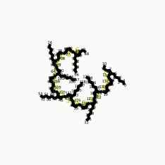 CCCCCCc1cc(CC)sc1-c1ccc(-c2ccc(-c3sc(-c4cc(CCCCCC)c(-c5ccc(-c6ccc(-c7sc(-c8cc(CCCCCC)c(-c9ccc(-c%10ccc(-c%11sc(-c%12cc(CCCCCC)c(-c%13ccc(-c%14ccc(-c%15sc(CC)cc%15CCCCCC)s%14)s%13)s%12)cc%11CCCCCC)s%10)s9)s8)cc7CCCCCC)s6)s5)s4)cc3CCCCCC)s2)s1